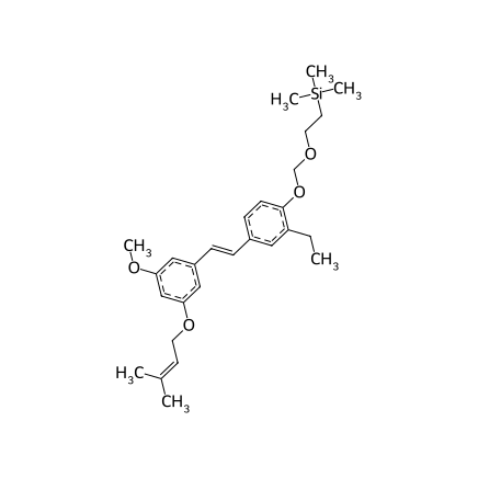 CCc1cc(/C=C/c2cc(OC)cc(OCC=C(C)C)c2)ccc1OCOCC[Si](C)(C)C